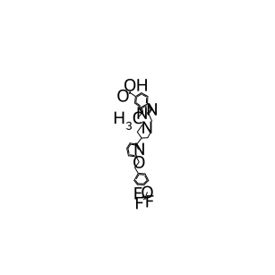 Cn1c(CN2CCC(c3cccc(OCc4ccc(OC(F)(F)F)cc4)n3)CC2)nc2ccc(C(=O)O)cc21